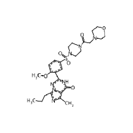 CCCc1nc(C)c2c(=O)[nH]c(-c3cc(S(=O)(=O)N4CCN(C(=O)CN5CCOCC5)CC4)ccc3OC)nn12